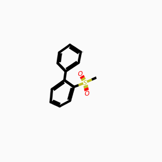 CS(=O)(=O)c1ccccc1-c1c[c]ccc1